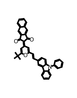 CC(C)(C)C1=CC(=C2C(=O)c3cc4ccccc4cc3C2=O)C=C(C=Cc2ccc3c(c2)c2ccccc2n3-c2ccccc2)O1